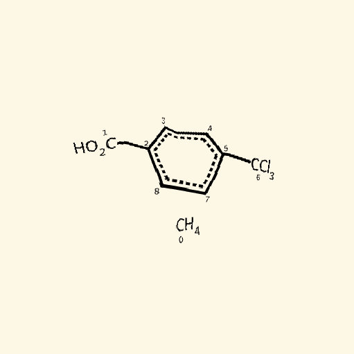 C.O=C(O)c1ccc(C(Cl)(Cl)Cl)cc1